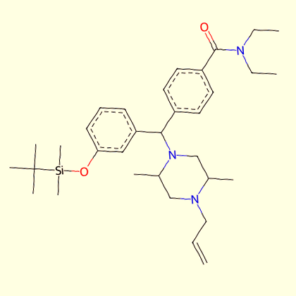 C=CCN1CC(C)N(C(c2ccc(C(=O)N(CC)CC)cc2)c2cccc(O[Si](C)(C)C(C)(C)C)c2)CC1C